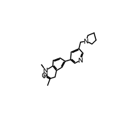 CNc1ccc(-c2cncc(CN3CCCC3)c2)cc1CC(C)=O